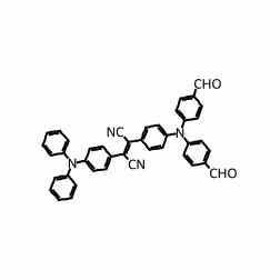 N#C/C(=C(/C#N)c1ccc(N(c2ccc(C=O)cc2)c2ccc(C=O)cc2)cc1)c1ccc(N(c2ccccc2)c2ccccc2)cc1